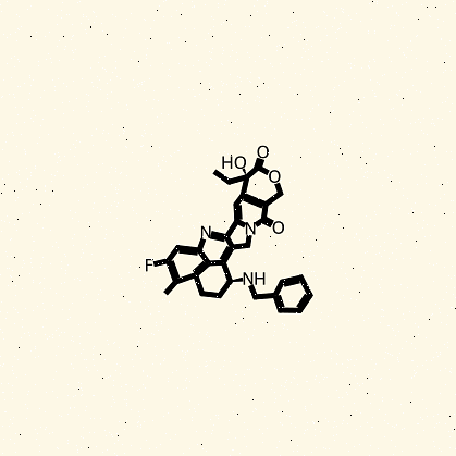 CC[C@@]1(O)C(=O)OCc2c1cc1n(c2=O)Cc2c-1nc1cc(F)c(C)c3c1c2[C@@H](NCc1ccccc1)CC3